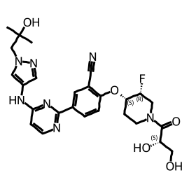 CC(C)(O)Cn1cc(Nc2ccnc(-c3ccc(O[C@H]4CCN(C(=O)[C@@H](O)CO)C[C@H]4F)c(C#N)c3)n2)cn1